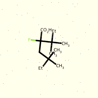 CCC(C)(C)CC(F)(C(=O)O)C(C)(C)CC